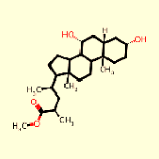 COC(=O)[C@H](C)C[C@@H](C)C1CCC2C3C(CC[C@@]21C)[C@@]1(C)CC[C@@H](O)C[C@H]1C[C@H]3O